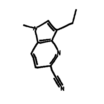 CCc1cn(C)c2ccc(C#N)nc12